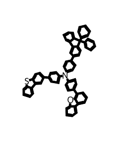 c1ccc(C2(c3ccccc3)c3ccccc3-c3cc(-c4ccc(N(c5ccc(-c6ccc7sc8ccccc8c7c6)cc5)c5ccc(-c6cccc7c6oc6ccccc67)cc5)cc4)ccc32)cc1